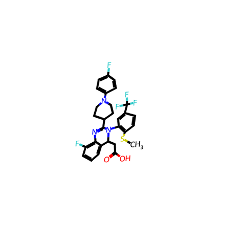 CSc1ccc(C(F)(F)F)cc1N1C(C2CCN(c3ccc(F)cc3)CC2)=Nc2c(F)cccc2C1CC(=O)O